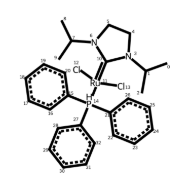 CC(C)N1CCN(C(C)C)[C]1=[Ru]([Cl])([Cl])[PH](c1ccccc1)(c1ccccc1)c1ccccc1